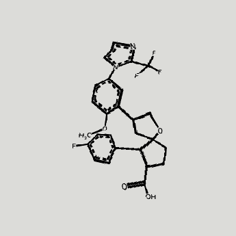 COc1ccc(-n2ccnc2C(F)(F)F)cc1C1COC2(CCC(C(=O)O)C2c2ccc(F)cc2)C1